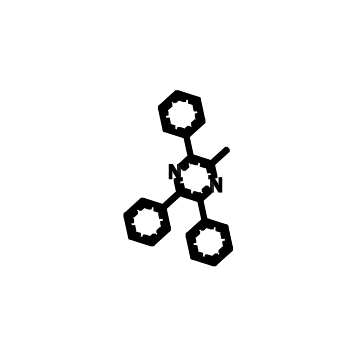 Cc1nc(-c2ccccc2)c(-c2ccccc2)nc1-c1ccccc1